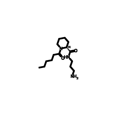 CCCCCC(=O)N1CCCC[C@@H]1C(=O)NCCCN